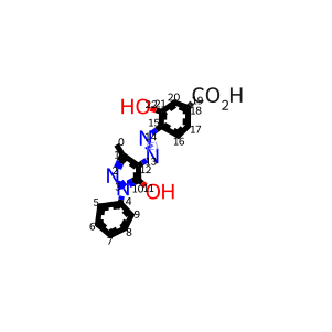 Cc1nn(-c2ccccc2)c(O)c1/N=N/c1ccc(C(=O)O)cc1O